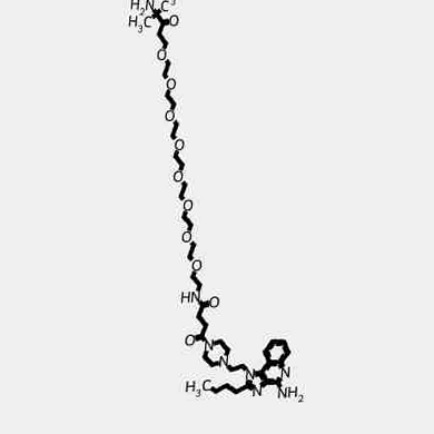 CCCCc1nc2c(N)nc3ccccc3c2n1CCN1CCN(C(=O)CCC(=O)NCCOCCOCCOCCOCCOCCOCCOCCOCCC(=O)C(C)(C)N)CC1